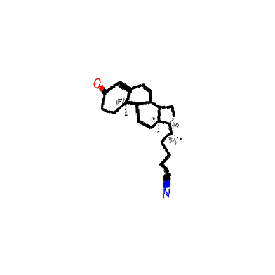 C[C@H](CCCC#N)[C@H]1CCC2C3C=CC4=CC(=O)CC[C@]4(C)C3CC[C@@]21C